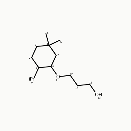 CC(C)C1CCC(C)(C)CC1OCCCO